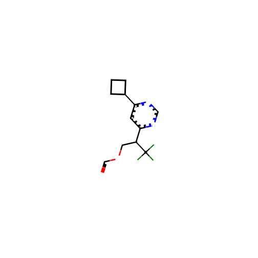 O=COCC(c1cc(C2CCC2)ncn1)C(F)(F)F